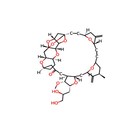 C=C1C[C@@H]2CC[C@@]34C[C@H]5O[C@H]6C(O3)[C@H]3O[C@H](CC[C@@H]3O[C@H]6C5O4)CC(=O)C[C@@H]3[C@@H](OC)[C@@H](C[C@H](O)CO)O[C@H]3C[C@H]3OC(CC[C@@H]1O2)C[C@@H](C)C3=C